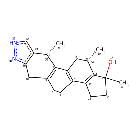 C[C@@H]1C2=C(CCC3=C2C[C@H](C)C2=C3CCC2(C)O)Cc2n[nH]cc21